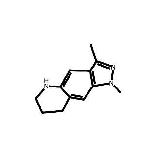 Cc1nn(C)c2cc3c(cc12)NCCC3